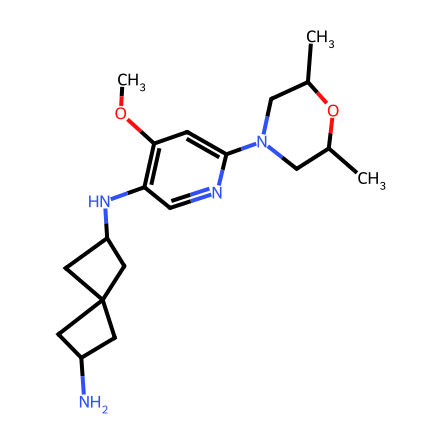 COc1cc(N2CC(C)OC(C)C2)ncc1NC1CC2(CC(N)C2)C1